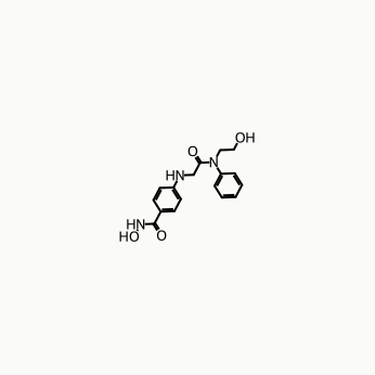 O=C(NO)c1ccc(NCC(=O)N(CCO)c2ccccc2)cc1